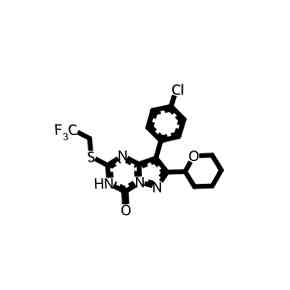 O=c1[nH]c(SCC(F)(F)F)nc2c(-c3ccc(Cl)cc3)c(C3CCCCO3)nn12